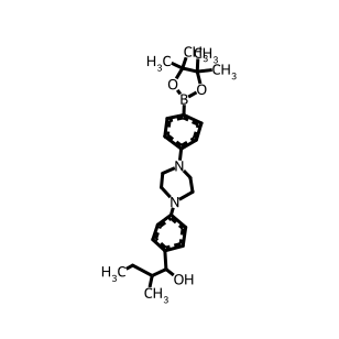 CCC(C)C(O)c1ccc(N2CCN(c3ccc(B4OC(C)(C)C(C)(C)O4)cc3)CC2)cc1